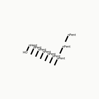 CCCCCC.CCCCCC.CCCCCC.CCCCCC.CCCCCC.CCCCCC.CCCCCC.CCCCCC.CCCCCCCO